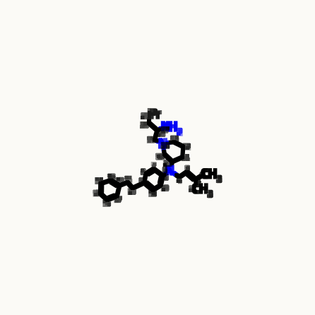 CC(C)=CCN(c1ccc(CCc2ccccc2)cc1)C1CCCN(CC(N)CC(C)C)C1